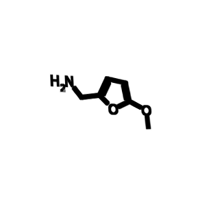 COc1ccc(CN)o1